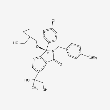 CC(O)(CO)c1ccc2c(c1)C(=O)N(Cc1ccc(C#N)cc1)[C@@]2(OCC1(CO)CC1)c1ccc(Cl)cc1